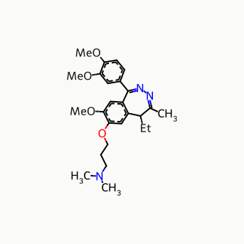 CCC1C(C)=NN=C(c2ccc(OC)c(OC)c2)c2cc(OC)c(OCCCN(C)C)cc21